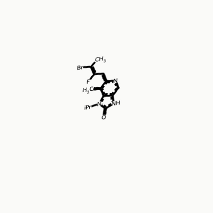 C=c1/c(=C\C(F)=C(/C)Br)ncc2[nH]c(=O)n(C(C)C)c12